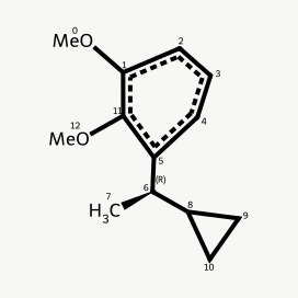 COc1cccc([C@H](C)C2CC2)c1OC